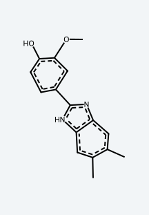 COc1cc(-c2nc3cc(C)c(C)cc3[nH]2)ccc1O